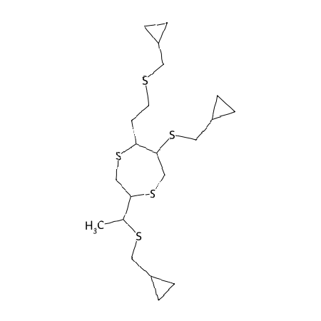 CC(SCC1CC1)C1CSC(CCSCC2CC2)C(SCC2CC2)CS1